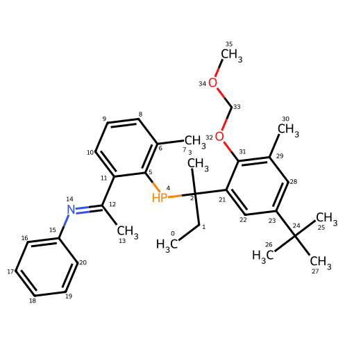 CCC(C)(Pc1c(C)cccc1/C(C)=N/c1ccccc1)c1cc(C(C)(C)C)cc(C)c1OCOC